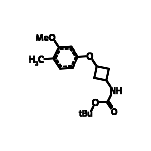 COc1cc(OC2CC(NC(=O)OC(C)(C)C)C2)ccc1C